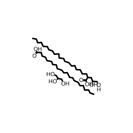 CCCCCCCCCCCCCCCCCCCCC(CC(O)CO)C(=O)O.CCCCCCCCCCCCCCCCCCCCCC(=O)O.OCC(O)CO